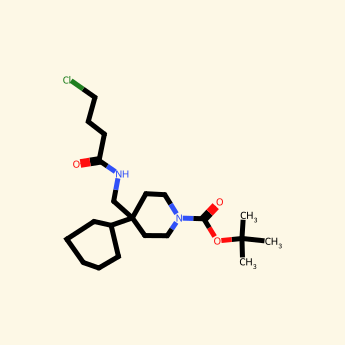 CC(C)(C)OC(=O)N1CCC(CNC(=O)CCCCl)(C2CCCCC2)CC1